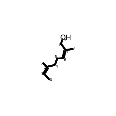 CC=C(C)CCC=C(C)CO